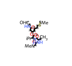 C/C=C(/NC(=O)CNC)C(=O)NC(C(=O)OC(C=CCCSSC)CC(=O)NCC=O)C(C)C